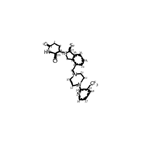 O=C1CCC(N2Cc3c(CN4CCN(c5ncccc5C(F)(F)F)CC4)cccc3C2=S)C(=O)N1